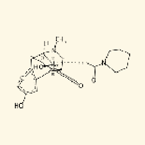 CN1CC[C@]23CC(=O)[C@@H](CC(=O)N4CCCCC4)C[C@@]2(O)[C@H]1Cc1ccc(O)cc13